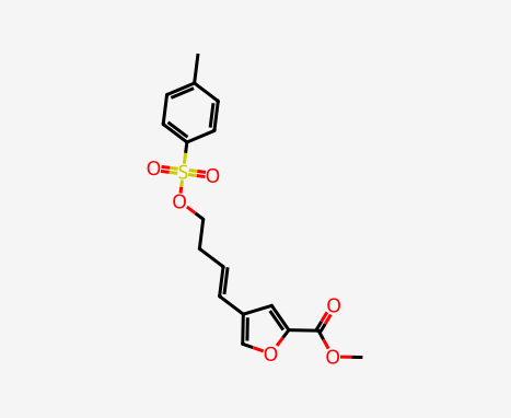 COC(=O)c1cc(C=CCCOS(=O)(=O)c2ccc(C)cc2)co1